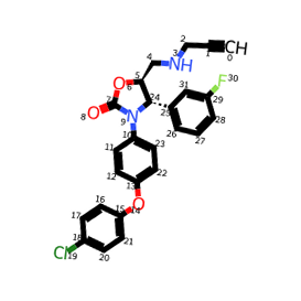 C#CCNC[C@@H]1OC(=O)N(c2ccc(Oc3ccc(Cl)cc3)cc2)[C@H]1c1cccc(F)c1